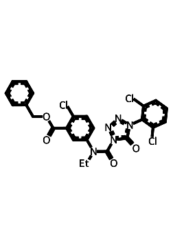 CCN(C(=O)n1nnn(-c2c(Cl)cccc2Cl)c1=O)c1ccc(Cl)c(C(=O)OCc2ccccc2)c1